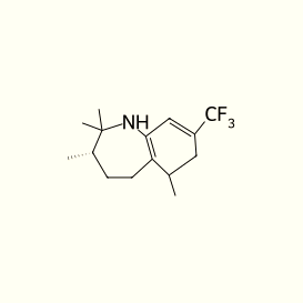 CC1CC(C(F)(F)F)=CC2=C1CC[C@H](C)C(C)(C)N2